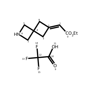 CCOC(=O)C=C1CC2(CNC2)C1.O=C(O)C(F)(F)F